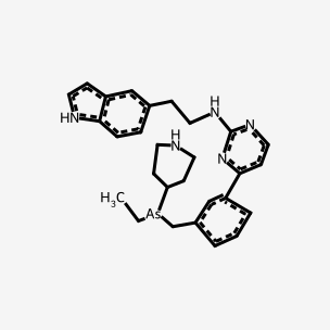 CC[As](Cc1cccc(-c2ccnc(NCCc3ccc4[nH]ccc4c3)n2)c1)C1CCNCC1